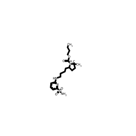 CCCCOC(=O)N1C(CCCCNc2cccc(S(N)(=O)=O)n2)CCC1(C)C